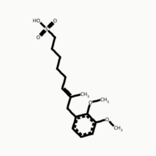 COc1cccc(C/C(C)=C/CCCCCS(=O)(=O)O)c1OC